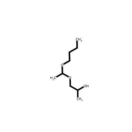 CCCCOC(C)OCC(C)O